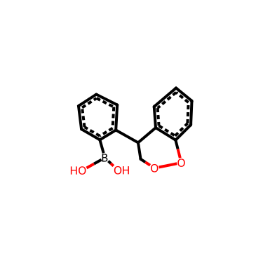 OB(O)c1ccccc1C1COOc2ccccc21